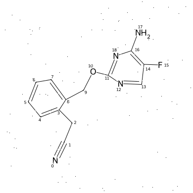 N#CCc1ccccc1COc1ncc(F)c(N)n1